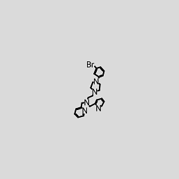 Brc1cccc(N2CCN(CCN(Cc3ccccn3)Cc3ccccn3)CC2)c1